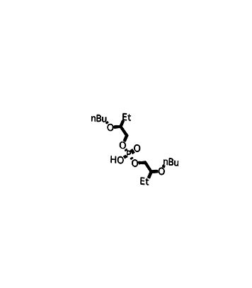 CCCCOC(CC)COP(=O)(O)OCC(CC)OCCCC